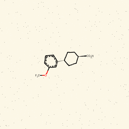 O=C(O)[C@H]1CC[C@H](c2cccc(OC(F)(F)F)c2)CC1